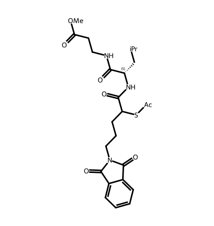 COC(=O)CCNC(=O)[C@H](CC(C)C)NC(=O)C(CCCN1C(=O)c2ccccc2C1=O)SC(C)=O